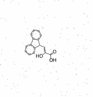 O=C(O)C(O)=CC1c2ccccc2-c2ccccc21